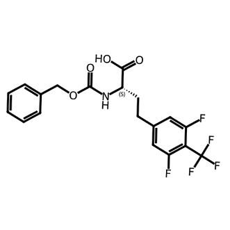 O=C(N[C@@H](CCc1cc(F)c(C(F)(F)F)c(F)c1)C(=O)O)OCc1ccccc1